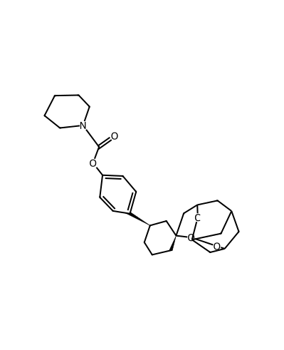 O=C(Oc1ccc([C@@H]2CCC[C@]3(CC4CC5CC(C4)CC(C5)OO3)C2)cc1)N1CCCCC1